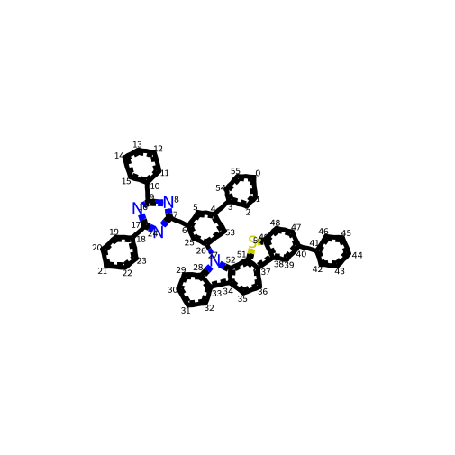 c1ccc(-c2cc(-c3nc(-c4ccccc4)nc(-c4ccccc4)n3)cc(-n3c4ccccc4c4ccc5c6cc(-c7ccccc7)ccc6sc5c43)c2)cc1